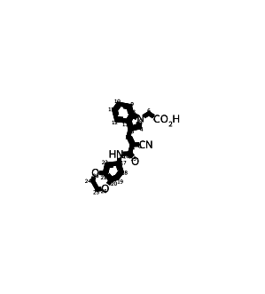 N#CC(=Cc1cn(CC(=O)O)c2ccccc12)C(=O)Nc1ccc2c(c1)OCCO2